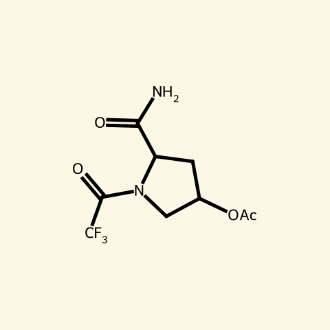 CC(=O)OC1CC(C(N)=O)N(C(=O)C(F)(F)F)C1